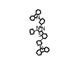 c1ccc(-c2nc(-c3cccc(-n4c5ccccc5c5ccccc54)c3)nc3c2sc2c(-c4cccc(-n5c6ccccc6c6ccccc65)c4)cccc23)cc1